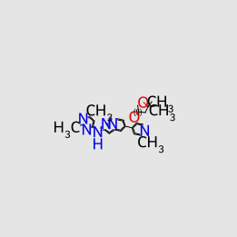 Cc1cc(-c2ccn3nc(Nc4cc(C)nc(C)n4)cc3c2)c(O[C@@H]2COC(C)(C)C2)cn1